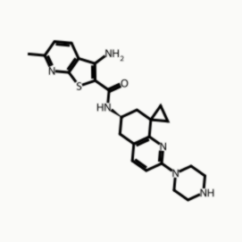 Cc1ccc2c(N)c(C(=O)N[C@@H]3Cc4ccc(N5CCNCC5)nc4C4(CC4)C3)sc2n1